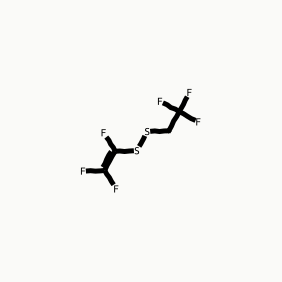 FC(F)=C(F)SSCC(F)(F)F